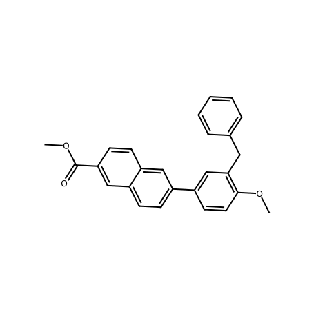 COC(=O)c1ccc2cc(-c3ccc(OC)c(Cc4ccccc4)c3)ccc2c1